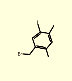 Cc1cc(I)c(CBr)cc1I